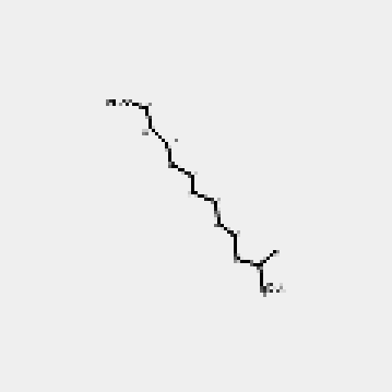 [CH2]C(CCCCCCCC)CCCCCCCCCCCCCCCCCCCC